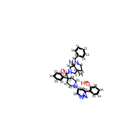 O=C(N1C[C@@H]2CCN(Cc3ccccc3)[C@@H]2C1)C1(c2ccccc2)CCN(c2cnnc(-c3ccccc3O)c2)CC1